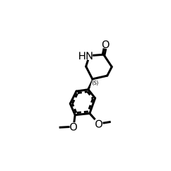 COc1ccc([C@@H]2CCC(=O)NC2)cc1OC